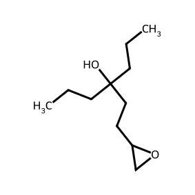 CCCC(O)(CCC)CCC1CO1